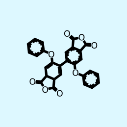 O=C1OC(=O)c2cc(C3=CC4C(=O)OC(=O)C4C=C3Oc3ccccc3)c(Oc3ccccc3)cc21